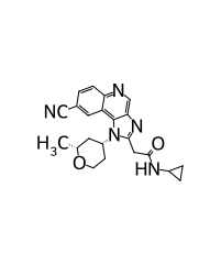 C[C@@H]1C[C@H](n2c(CC(=O)NC3CC3)nc3cnc4ccc(C#N)cc4c32)CCO1